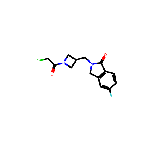 O=C(CCl)N1CC(CN2Cc3cc(F)ccc3C2=O)C1